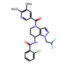 COc1cc(C(=O)N2CCC(NC(=O)c3ccccc3Cl)c3c2cnn3CC(F)F)cnc1OC